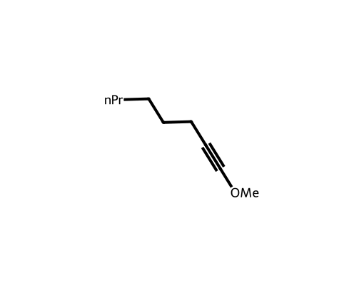 [CH2]CCCCCC#COC